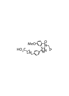 COc1ccc(C(=O)N(CC2CC2)c2nnc(-c3ccc(CN4CC(C(=O)O)C4)cc3)s2)cc1